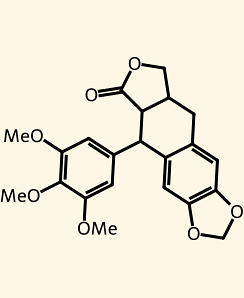 COc1cc(C2c3cc4c(cc3CC3COC(=O)C32)OCO4)cc(OC)c1OC